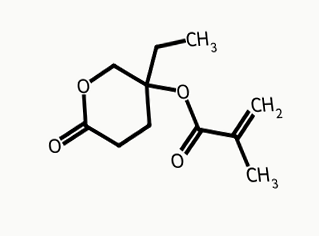 C=C(C)C(=O)OC1(CC)CCC(=O)OC1